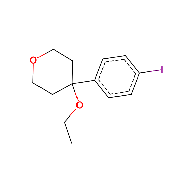 CCOC1(c2ccc(I)cc2)CCOCC1